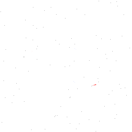 COc1c(C(=O)O)cc(Cl)c(N)c1CCN1CCC[C@H](O)C1